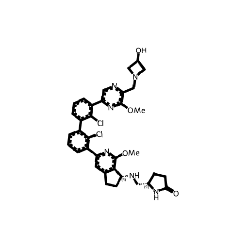 COc1nc(-c2cccc(-c3cccc(-c4cc5c(c(OC)n4)[C@H](NC[C@@H]4CCC(=O)N4)CC5)c3Cl)c2Cl)cnc1CN1CC(O)C1